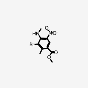 CNc1c([N+](=O)[O-])cc(C(=O)OC)c(C)c1Br